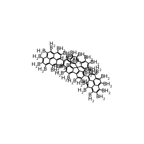 Bc1c(B)c(B)c2c(c1B)-c1c(B)c(B)c(B)c(B)c1C21c2c(B)c(-c3c(B)c(B)c4c(B)c(B)c5c(B)c(B)c(B)c6c(B)c(B)c3c4c56)c(B)c(B)c2-c2c(B)c(B)c3c(B)c(-c4c(B)c(B)c5c(B)c(B)c6c(B)c(B)c(B)c7c(B)c(B)c4c5c67)c(B)c(B)c3c21